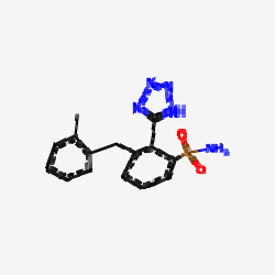 Cc1ccccc1Cc1cccc(S(N)(=O)=O)c1-c1nnn[nH]1